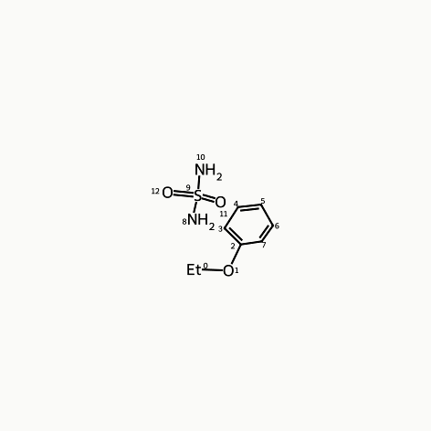 CCOc1ccccc1.NS(N)(=O)=O